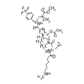 CNCCCCCC(=O)N[C@@H](CC1CC1)C(=O)N(C)[C@H](C[C@@H](OC(C)=O)c1nc(C(=O)N[C@@H](Cc2ccc(C(F)(F)F)cc2)C[C@H](C)C(=O)OC)cs1)C(C)C